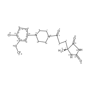 C[C@]1(CCC(=O)N2CCN(c3ccc(Cl)c(OC(F)(F)F)c3)CC2)NC(=O)NC1=O